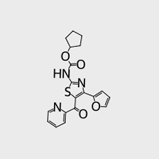 O=C(Nc1nc(-c2ccco2)c(C(=O)c2ccccn2)s1)OC1CCCC1